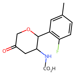 Cc1ccc(F)c(C2OCC(=O)CC2NC(=O)O)c1